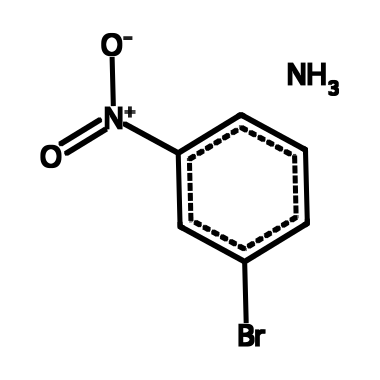 N.O=[N+]([O-])c1cccc(Br)c1